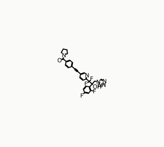 O=C(c1ccc(C#Cc2ccc(C(F)(F)C(O)(Cn3cnnn3)c3ccc(F)cc3F)nc2)cc1)N1CCCC1